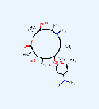 CC[C@H]1OC(=O)[C@H](C)[C@@H](O)[C@H](C)[C@@H](O[C@H]2C[C@@H](N(C)C)C[C@@H](C)O2)[C@](C)(O)C[C@@H](C)CN(C)[C@H](C)[C@@H](O)[C@]1(C)O